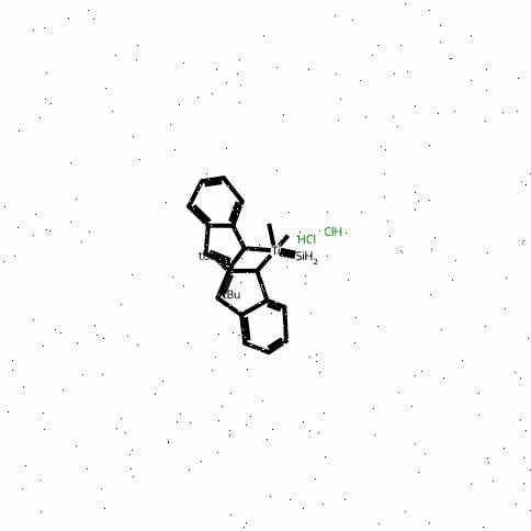 CC(C)(C)C1=Cc2ccccc2[CH]1[Ti]([CH3])([CH3])(=[SiH2])[CH]1C(C(C)(C)C)=Cc2ccccc21.Cl.Cl